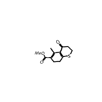 COC(=O)C1=C(C)C2=C(CC1)SCCC2=O